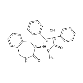 CC(C)(C)OC(=O)[C@](O)(c1ccccc1)[C@H](N[C@@H]1Cc2ccccc2CNC1=O)c1ccccc1